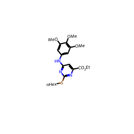 CCCCCCSc1nc(Nc2cc(OC)c(OC)c(OC)c2)cc(C(=O)OCC)n1